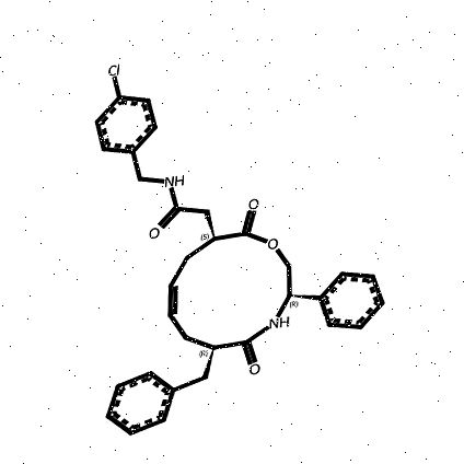 O=C(C[C@@H]1CC=CC[C@H](Cc2ccccc2)C(=O)N[C@H](c2ccccc2)COC1=O)NCc1ccc(Cl)cc1